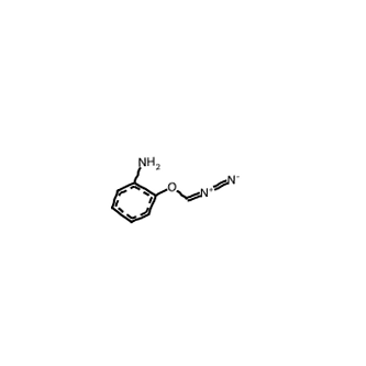 [N-]=[N+]=COc1ccccc1N